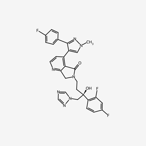 Cn1cc(-c2ccnc3c2C(=O)N(CC[C@@](O)(Cn2cncn2)c2ccc(F)cc2F)C3)c(-c2ccc(F)cc2)n1